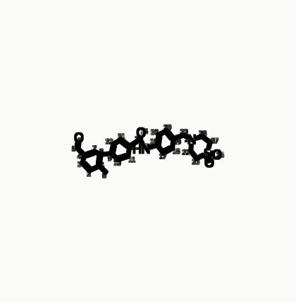 Cc1ccc(C=O)cc1-c1ccc(C(=O)Nc2ccc(CN3CCS(=O)(=O)CC3)cc2)cc1